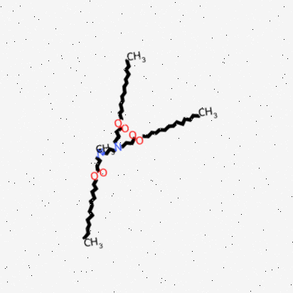 CCCCCCCCCCCCCCCOC(=O)CCCN(C)CCCN(CCCC(=O)OCCCCCCCCCCCCCCC)CCCC(=O)OCCCCCCCCCCCCCCC